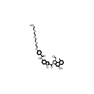 Cc1cccc2c(O)cc3c(c12)[C@H](CCl)CN3C(=O)c1cc2cc(NC(=O)c3ccc(OCCOCCOCCOCCO)cc3)ccc2[nH]1